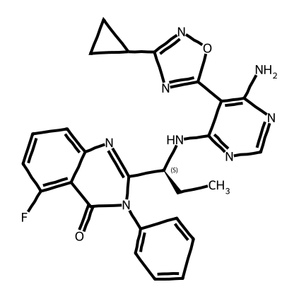 CC[C@H](Nc1ncnc(N)c1-c1nc(C2CC2)no1)c1nc2cccc(F)c2c(=O)n1-c1ccccc1